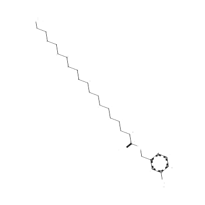 CCCCCCCCCCCCCCCCCCCC(=O)OCc1cccc(Br)c1